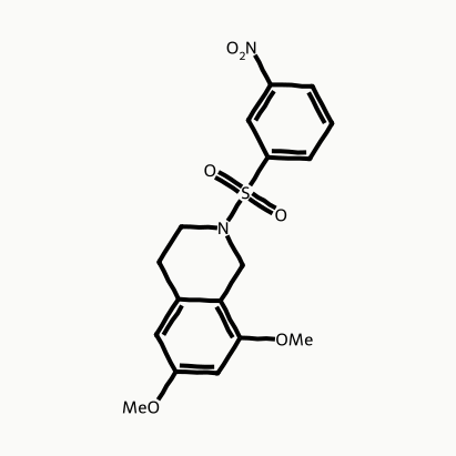 COc1cc2c(c(OC)c1)CN(S(=O)(=O)c1cccc([N+](=O)[O-])c1)CC2